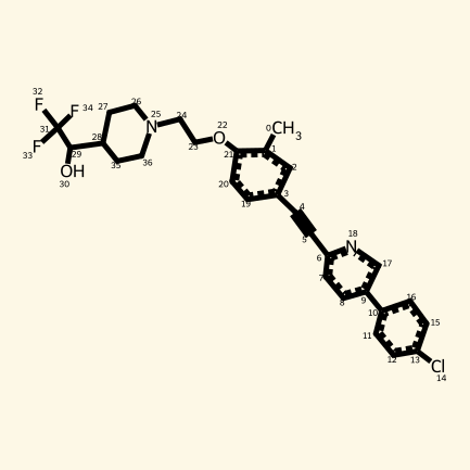 Cc1cc(C#Cc2ccc(-c3ccc(Cl)cc3)cn2)ccc1OCCN1CCC(C(O)C(F)(F)F)CC1